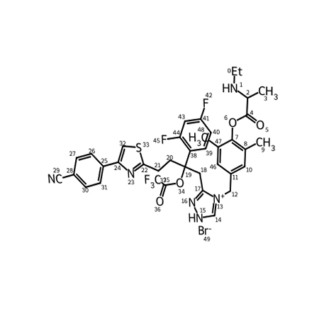 CCNC(C)C(=O)Oc1c(C)cc(C[n+]2c[nH]nc2CC(CCc2nc(-c3ccc(C#N)cc3)cs2)(OC(=O)C(F)(F)F)c2ccc(F)cc2F)cc1C.[Br-]